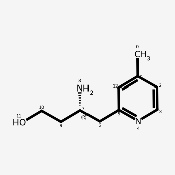 Cc1ccnc(C[C@@H](N)CCO)c1